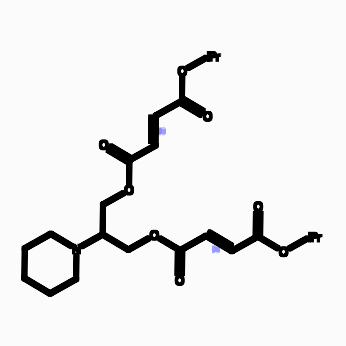 CC(C)OC(=O)/C=C/C(=O)OCC(COC(=O)/C=C/C(=O)OC(C)C)N1CCCCC1